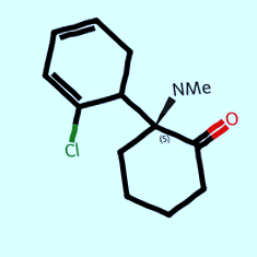 CN[C@]1(C2CC=CC=C2Cl)CCCCC1=O